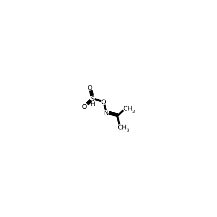 CC(C)=NO[SH](=O)=O